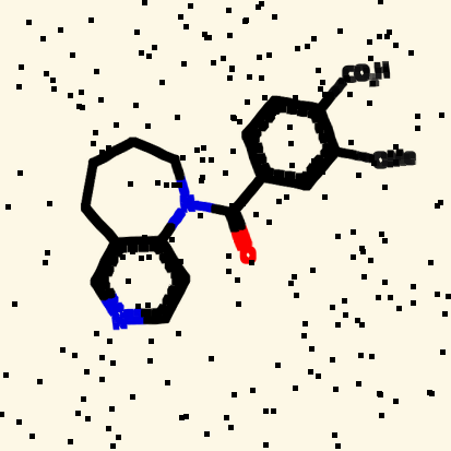 COc1cc(C(=O)N2CCCCc3cnccc32)ccc1C(=O)O